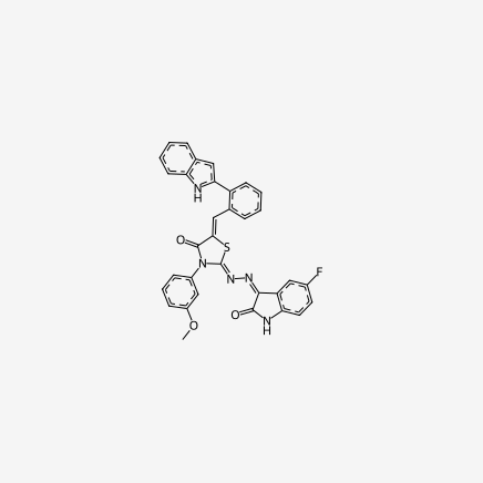 COc1cccc(N2C(=O)C(=Cc3ccccc3-c3cc4ccccc4[nH]3)SC2=NN=C2C(=O)Nc3ccc(F)cc32)c1